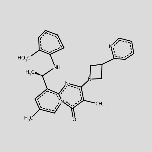 Cc1cc([C@@H](C)Nc2ccccc2C(=O)O)c2nc(N3CC(c4ccccn4)C3)c(C)c(=O)n2c1